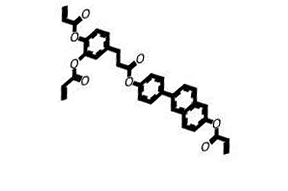 C=CC(=O)Oc1ccc2cc(-c3ccc(OC(=O)CCc4ccc(OC(=O)C=C)c(OC(=O)C=C)c4)cc3)ccc2c1